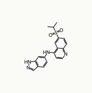 CC(C)S(=O)(=O)c1ccc2nccc(Nc3ccc4cn[nH]c4c3)c2c1